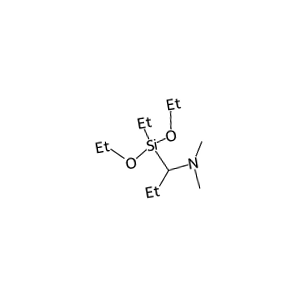 CCO[Si](CC)(OCC)C(CC)N(C)C